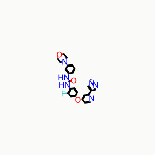 Cn1cc(-c2cc(Oc3ccc(NC(=O)Nc4cccc(N5CCOCC5)c4)c(F)c3)ccn2)cn1